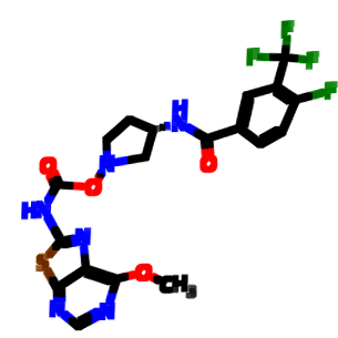 COc1ncnc2sc(NC(=O)ON3CC[C@H](NC(=O)c4ccc(F)c(C(F)(F)F)c4)C3)nc12